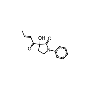 C/C=C/C(=O)C1(O)CCN(c2ccccc2)C1=O